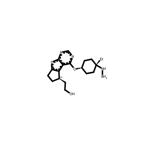 BN[C@]1(CC)CC[C@@H](Oc2ncnc3sc4c(c23)[C@@H](CCO)CC4)CC1